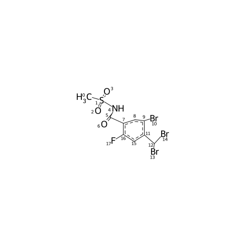 CS(=O)(=O)NC(=O)c1cc(Br)c(C(Br)Br)cc1F